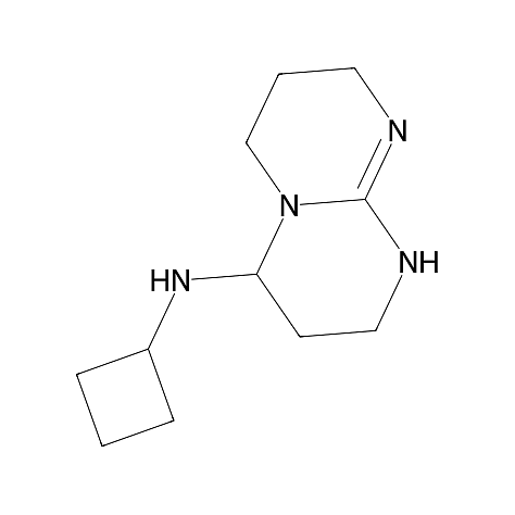 C1CC(NC2CCNC3=NCCCN32)C1